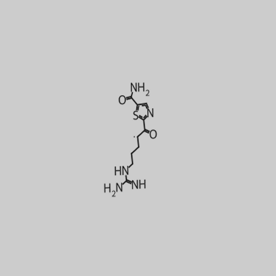 N=C(N)NCCC[CH]C(=O)c1ncc(C(N)=O)s1